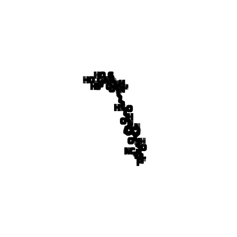 N#C[C@@H]1CC(F)(F)CN1C(=O)CNC(=O)c1ccnc2c(NC(=O)CCC(=O)NCCCC[C@H](N)C(=O)N[C@@H](CC(=O)O)C(O)N[C@@H](CS)C(=O)O)cccc12